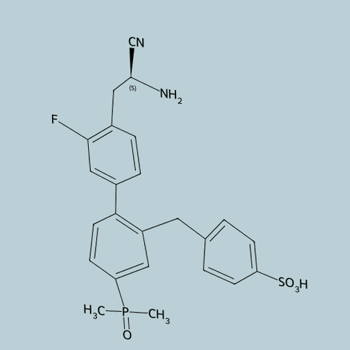 CP(C)(=O)c1ccc(-c2ccc(C[C@H](N)C#N)c(F)c2)c(Cc2ccc(S(=O)(=O)O)cc2)c1